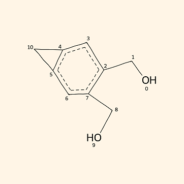 OCc1cc2c(cc1CO)C2